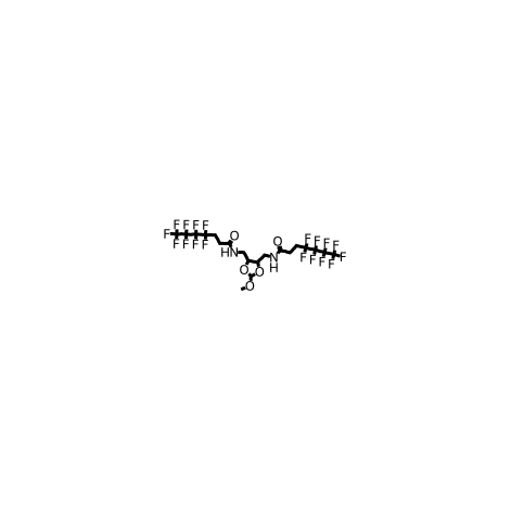 COC1OC(CNC(=O)CCC(F)(F)C(F)(F)C(F)(F)C(F)(F)F)C(CNC(=O)CCC(F)(F)C(F)(F)C(F)(F)C(F)(F)F)O1